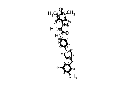 Cc1cc(F)cc(CN2CCN(c3ccc(NC(=O)C(C)n4cnc5c4c(=O)n(C)c(=O)n5C)nc3)CC2)c1